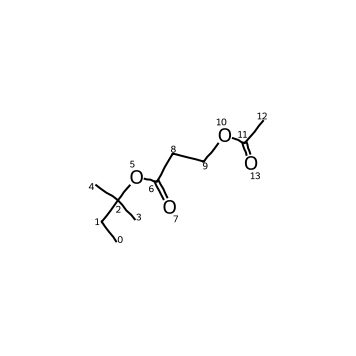 CCC(C)(C)OC(=O)CCOC(C)=O